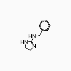 c1ccc(CNC2=NCCN2)cc1